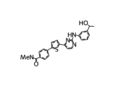 CNC(=O)c1ccc(-c2ccc(-c3ccnc(Nc4cccc(C(C)O)c4)n3)s2)cc1